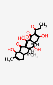 CCC(=O)C1=C(O)C[C@@H]2[C@@H](O)[C@H]3C(=C(O)[C@]2(O)C1=O)C(=O)C1C(O)C(C)=CCC1[C@@H]3C